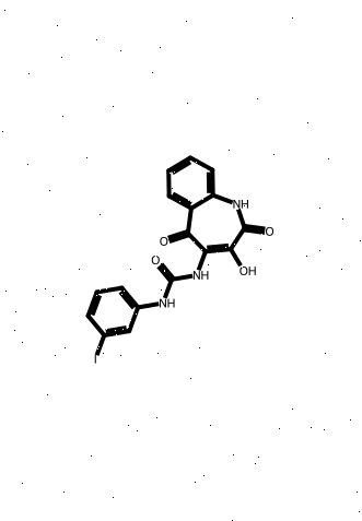 O=C(Nc1cccc(I)c1)Nc1c(O)c(=O)[nH]c2ccccc2c1=O